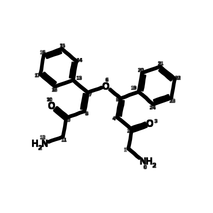 NCC(=O)C=C(OC(=CC(=O)CN)c1ccccc1)c1ccccc1